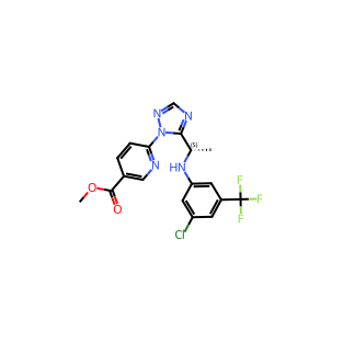 COC(=O)c1ccc(-n2ncnc2[C@H](C)Nc2cc(Cl)cc(C(F)(F)F)c2)nc1